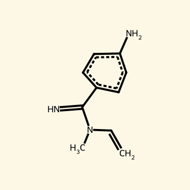 C=CN(C)C(=N)c1ccc(N)cc1